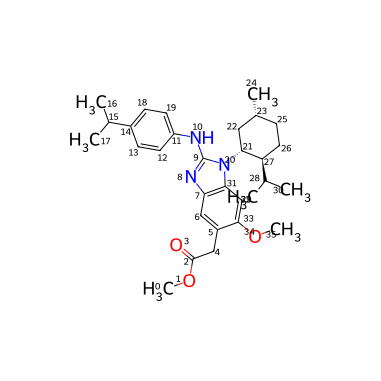 COC(=O)Cc1cc2nc(Nc3ccc(C(C)C)cc3)n([C@@H]3C[C@H](C)CC[C@H]3C(C)C)c2cc1OC